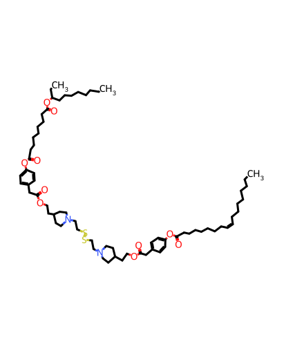 CCCCCCCC/C=C\CCCCCCCC(=O)Oc1ccc(CC(=O)OCCC2CCN(CCSSCCN3CCC(CCOC(=O)Cc4ccc(OC(=O)CCCCCCCC(=O)OC(CC)CCCCCCCC)cc4)CC3)CC2)cc1